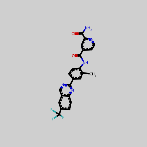 Cc1cc(-c2ncc3cc(C(F)(F)F)ccc3n2)ccc1NC(=O)c1ccnc(C(N)=O)c1